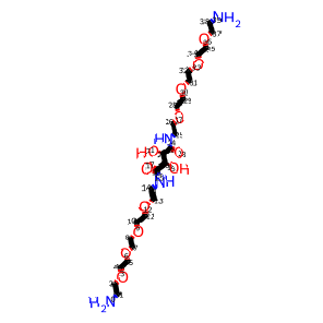 NCCOCCOCCOCCOCCNC(=O)[C@H](O)[C@@H](O)C(=O)NCCOCCOCCOCCOCCN